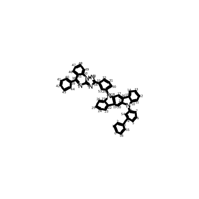 c1ccc(-c2cccc(-n3c4ccccc4c4cc5c(cc43)c3ccccc3n5-c3cccc(-c4nc5nc(-c6ccccc6)c6ccccc6n5n4)c3)c2)cc1